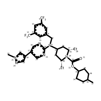 CC[C@@H]1CC(N(Cc2cc(C(F)(F)F)cc(C(F)(F)F)c2)c2ncc(-c3cnn(C)c3)cn2)C[C@H](CC)N1C(=O)OC1CCC(C)CC1